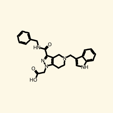 O=C(O)Cn1nc(C(=O)NCc2ccccc2)c2c1CCN(Cc1c[nH]c3ccccc13)C2